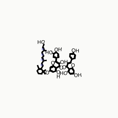 CC1=C(/C=C/C(C)=C/C=C/C(C)=C/CO)C(C)(C)CCC1.O=c1c(O)c(-c2ccc(O)c(O)c2)oc2cc(O)cc(O)c12.O=c1cc(-c2ccc(O)cc2)oc2cc(O)cc(O)c12